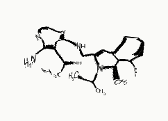 C=C1c2c(F)cccc2C=C(CNc2ncnc(N)c2C(C)=N)N1C(C)C